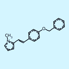 Cn1cccc1C=Cc1ccc(OCc2ccccc2)cc1